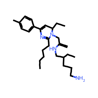 C=C(CN1C(CCCCC)=NC(c2ccc(C)cc2)=CC1CC)NCC(CC)CCCN